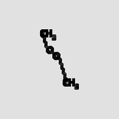 CCCCCCCCCCc1ccc(C2=CCC(CCCCCC)C=C2)cc1